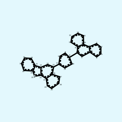 c1ccc2c(c1)cc(-c1ccc(-c3cc4c5ccccc5sc4c4ccccc34)cc1)c1ccccc12